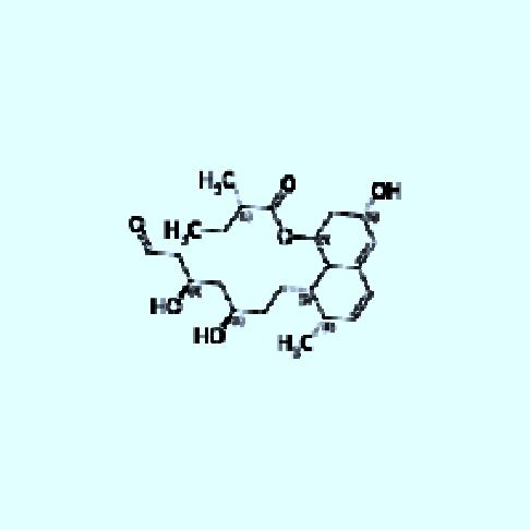 CC[C@H](C)C(=O)O[C@H]1C[C@H](O)C=C2C=C[C@H](C)[C@H](CC[C@@H](O)C[C@@H](O)CC=O)C21